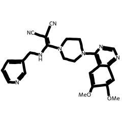 COc1cc2ncnc(N3CCN(C(NCc4cccnc4)=C(C#N)C#N)CC3)c2cc1OC